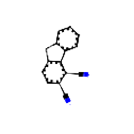 N#Cc1ccc2c(c1C#N)-c1ccccc1C2